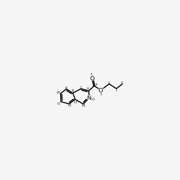 CCCOC(=O)c1cc2ccccc2cn1